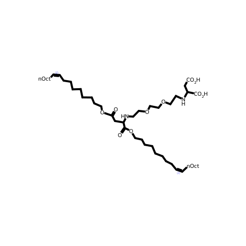 CCCCCCCC/C=C\CCCCCCCCOC(=O)CC(NCCOCCOCCNC(CC(=O)O)C(=O)O)C(=O)OCCCCCCCC/C=C\CCCCCCCC